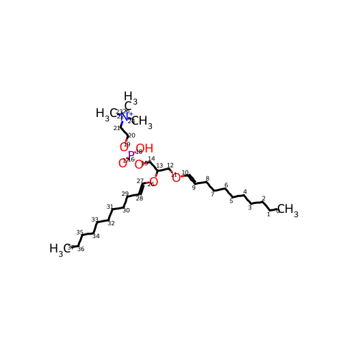 CCCCCCCCCC=COCC(COP(=O)(O)OCC[N+](C)(C)C)OC=CCCCCCCCCC